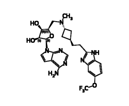 CN(C[C@H]1O[C@@H](n2ccc3c(N)ncnc32)[C@@H](O)[C@H]1O)[C@H]1C[C@H](CCc2nc3cc(OC(F)(F)F)ccc3[nH]2)C1